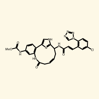 COC(=O)Nc1ccc2c(c1)NC(=O)CC=CCC(NC(=O)C=Cc1cc(Cl)ccc1-n1cnnn1)c1nc-2c[nH]1